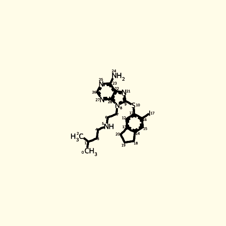 CC(C)CCNCCn1c(Sc2cc3c(cc2I)CCC3)nc2c(N)ncnc21